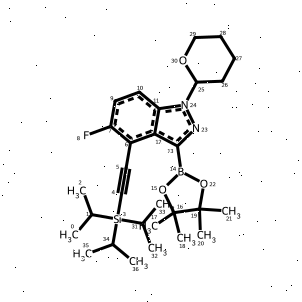 CC(C)[Si](C#Cc1c(F)ccc2c1c(B1OC(C)(C)C(C)(C)O1)nn2C1CCCCO1)(C(C)C)C(C)C